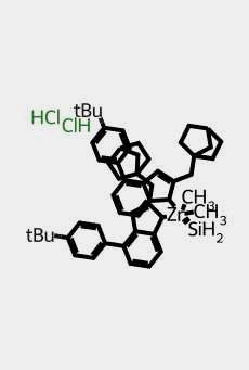 CC(C)(C)c1ccc(-c2cccc3c2C=C(CC24CCC(CC2)C4)[CH]3[Zr]([CH3])([CH3])(=[SiH2])[CH]2C(CC34CCC(CC3)C4)=Cc3c(-c4ccc(C(C)(C)C)cc4)cccc32)cc1.Cl.Cl